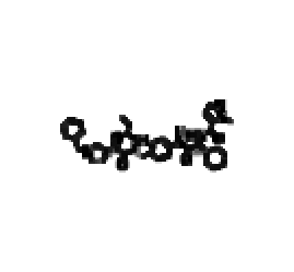 CCC(=O)N[C@H](Cc1ccc(NC(=O)[C@@H](NC(=O)c2ccnn2C)C2CCCCC2)cc1)C(=O)N[C@H]1CCN(Cc2ccccc2)C1